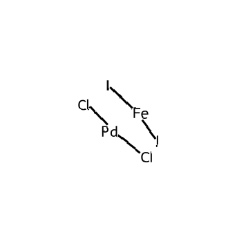 [Cl][Pd][Cl].[I][Fe][I]